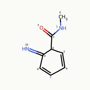 CNC(=O)C1C=CC=CC1=N